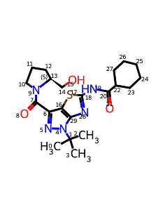 CC(C)(C)n1nc(C(=O)N2CCC[C@H]2CO)c2sc(NC(=O)C3CCCCC3)nc21